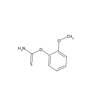 COc1ccccc1OC(N)=S